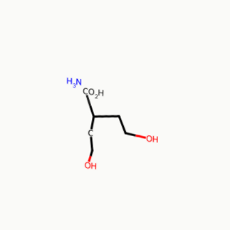 N.O=C(O)C(CCO)CCO